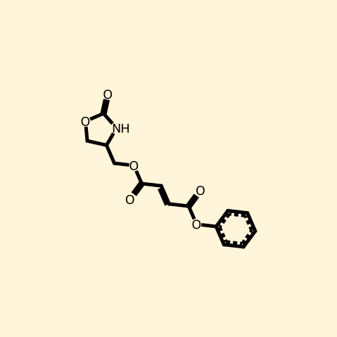 O=C(/C=C/C(=O)Oc1ccccc1)OCC1COC(=O)N1